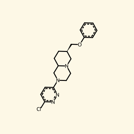 Clc1ccc(N2CCN3C[C@H](COc4ccccc4)CCC3C2)nn1